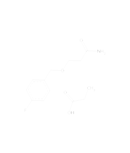 CCC(=O)O.NC(=O)CCOCc1ccc(F)cc1